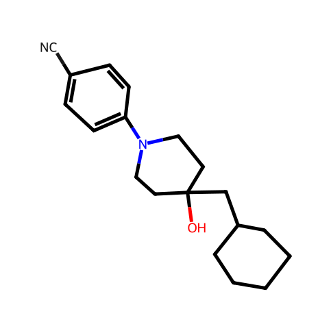 N#Cc1ccc(N2CCC(O)(CC3CCCCC3)CC2)cc1